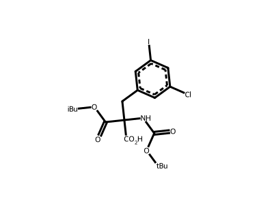 CCC(C)OC(=O)C(Cc1cc(Cl)cc(I)c1)(NC(=O)OC(C)(C)C)C(=O)O